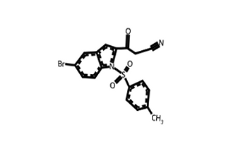 Cc1ccc(S(=O)(=O)n2c(C(=O)CC#N)cc3cc(Br)ccc32)cc1